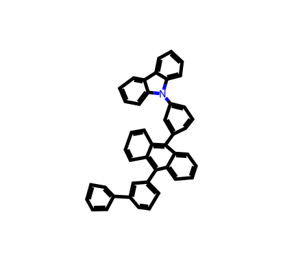 c1ccc(-c2cccc(-c3c4ccccc4c(-c4cccc(-n5c6ccccc6c6ccccc65)c4)c4ccccc34)c2)cc1